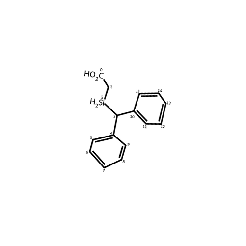 O=C(O)C[SiH2]C(c1ccccc1)c1ccccc1